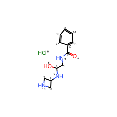 Cl.O=C(NCC(O)NC1CNC1)c1ccccc1